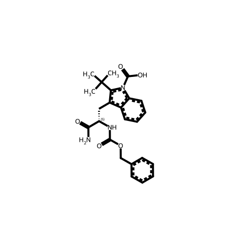 CC(C)(C)c1c(C[C@H](NC(=O)OCc2ccccc2)C(N)=O)c2ccccc2n1C(=O)O